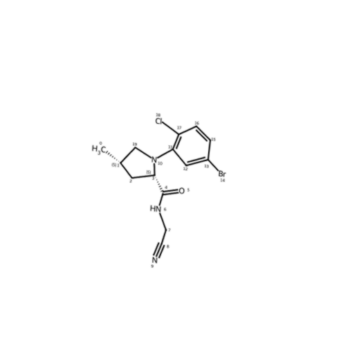 C[C@H]1C[C@@H](C(=O)NCC#N)N(c2cc(Br)ccc2Cl)C1